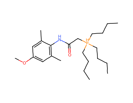 CCCC[PH](CCCC)(CCCC)CC(=O)Nc1c(C)cc(OC)cc1C